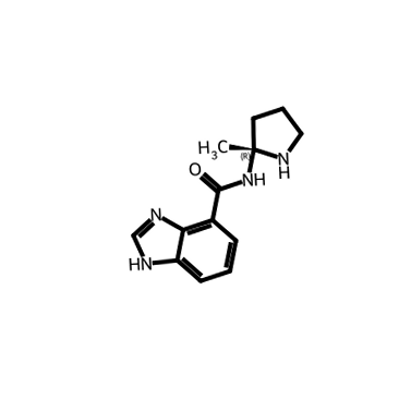 C[C@@]1(NC(=O)c2cccc3[nH]cnc23)CCCN1